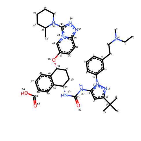 CCN(C)CCc1cccc(-n2nc(C(C)(C)C)cc2NC(=O)N[C@H]2CC[C@@H](Oc3ccc4nnc(N5CCCCC5C)n4c3)c3ccccc32)c1.O=CO